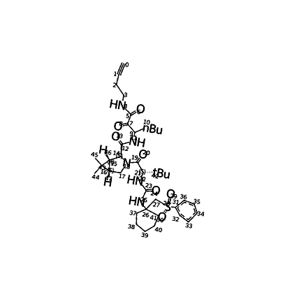 C#CCCNC(=O)C(=O)C(CCCC)NC(=O)[C@@H]1[C@@H]2[C@H](CN1C(=O)[C@@H](NC(=O)NC1(CS(=O)(=O)c3ccccc3)CCCCC1)C(C)(C)C)C2(C)C